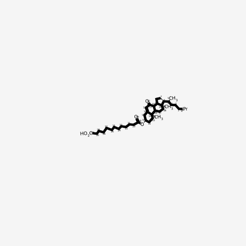 CC(C)CCC[C@@H](C)[C@H]1CCC2C3C(=O)C=C4C[C@@H](OC(=O)CCCCCCCCCCCC(=O)O)CC[C@]4(C)C3CC[C@@]21C